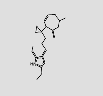 C=C1CC(C)CC=CC1C1(CC/C=c2/cc(CC)[nH]/c2=C/C)CC1